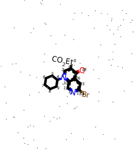 CCOC(=O)c1cn(C2CCCCC2)c2cnc(Br)cc2c1=O